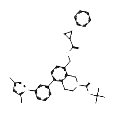 Cc1cc(C)n(-c2cccc(-c3ccc(CNC(=O)C4C[C@@H]4c4ccccc4)c4c3CCN(C(=O)NC(C)(C)C)C4)c2)n1